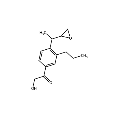 CCCc1cc(C(=O)CO)ccc1C(C)C1CO1